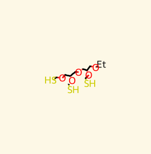 CCOCC(COCC(COCS)OCS)OCS